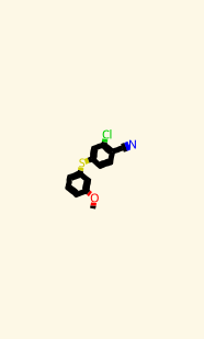 COc1cccc(Sc2ccc(C#N)c(Cl)c2)c1